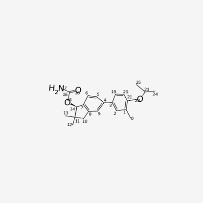 Cc1cc(-c2ccc3c(c2)CC(C)(C)[C@H]3OC(N)=O)ccc1OC(C)C